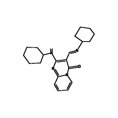 O=c1c(C=NC2CCCCC2)c(NC2CCCCC2)nc2ccccn12